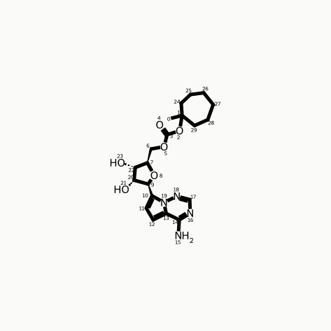 CC1(OC(=O)OC[C@H]2O[C@@H](c3ccc4c(N)ncnn34)[C@H](O)[C@@H]2O)CCCCCC1